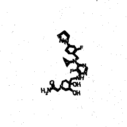 NC(=O)CN1CCC(O)(CNc2ncnc(N(Cc3ccc(-n4cccn4)cc3F)C3CC3)c2F)C(O)C1